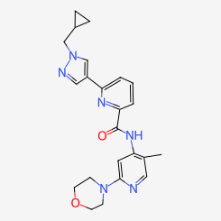 Cc1cnc(N2CCOCC2)cc1NC(=O)c1cccc(-c2cnn(CC3CC3)c2)n1